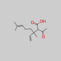 C=CC(C)(CCC=C(C)C)C(C(C)=O)C(=O)O